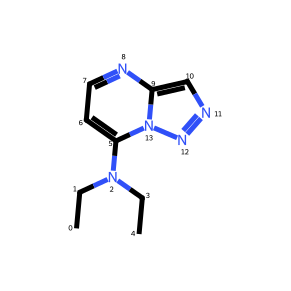 CCN(CC)c1ccnc2cnnn12